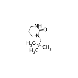 CC(C)(C)CN1CCCNC1=O